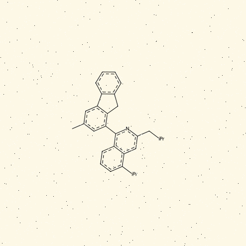 Cc1cc2c(c(-c3nc(CC(C)C)cc4c(C(C)C)cccc34)c1)Cc1ccccc1-2